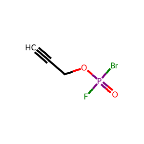 C#CCOP(=O)(F)Br